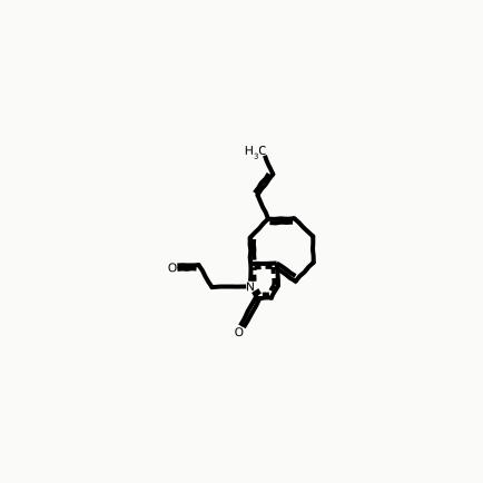 C/C=C/C1=CCC/C=c2\ccc(=O)n(CC=O)\c2=C\1